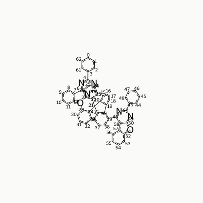 c1ccc(-c2nc(-c3ccccc3)nc(-c3cccc4c3C3(c5ccccc5Oc5ccccc53)c3cccc(-c5nc(-c6ccccc6)nc6oc7ccccc7c56)c3-4)n2)cc1